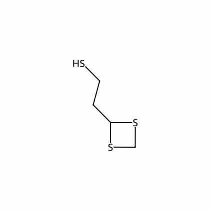 SCCC1SCS1